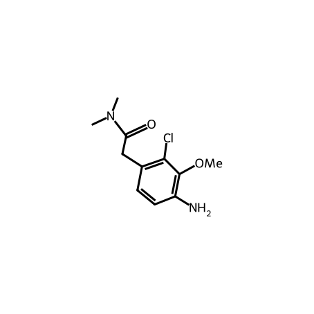 COc1c(N)ccc(CC(=O)N(C)C)c1Cl